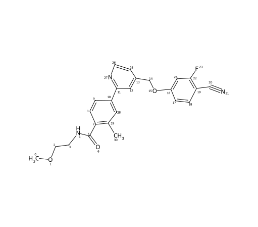 COCCNC(=O)c1ccc(-c2cc(COc3ccc(C#N)c(F)c3)ccn2)cc1C